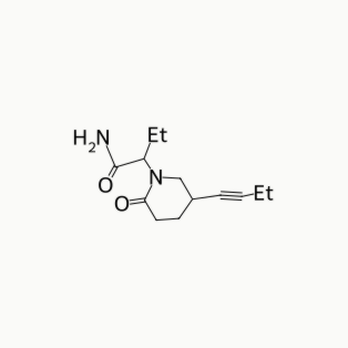 CCC#CC1CCC(=O)N(C(CC)C(N)=O)C1